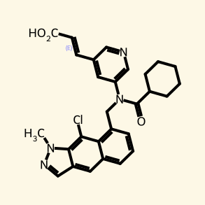 Cn1ncc2cc3cccc(CN(C(=O)C4CCCCC4)c4cncc(/C=C/C(=O)O)c4)c3c(Cl)c21